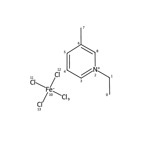 CC[n+]1cccc(C)c1.[Cl][Fe-]([Cl])([Cl])[Cl]